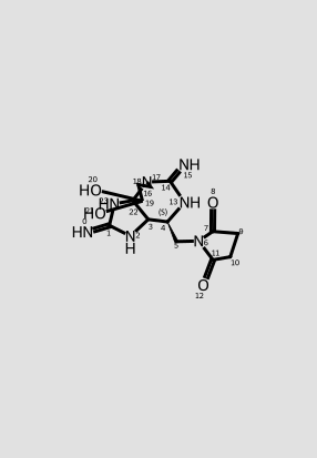 N=C1NC2[C@H](CN3C(=O)CCC3=O)NC(=N)N3CCC(O)(O)C23N1